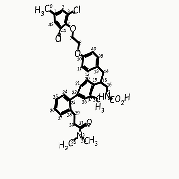 Cc1cc(Cl)c(OCCOc2ccc(CC(CNC(=O)O)c3ccc(-c4ccccc4CCC(=O)N(C)C)cc3C)cc2)c(Cl)c1